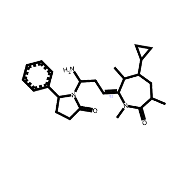 CC1CC(C2CC2)C(C)/C(=C\CC(N)N2C(=O)CCC2c2ccccc2)N(C)C1=O